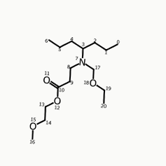 CCCC(CCC)N(CCC(=O)OCCOC)COCC